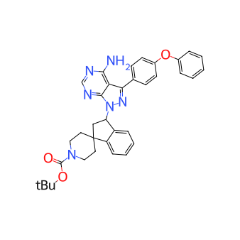 CC(C)(C)OC(=O)N1CCC2(CC1)CC(n1nc(-c3ccc(Oc4ccccc4)cc3)c3c(N)ncnc31)c1ccccc12